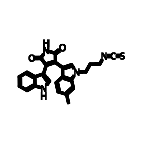 Cc1ccc2c(C3=C(c4c[nH]c5ccccc45)C(=O)NC3=O)cn(CCCN=C=S)c2c1